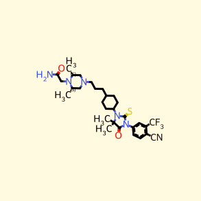 C[C@H]1CN(CCCC2CCC(N3C(=S)N(c4ccc(C#N)c(C(F)(F)F)c4)C(=O)C3(C)C)CC2)C[C@H](C)N1CC(N)=O